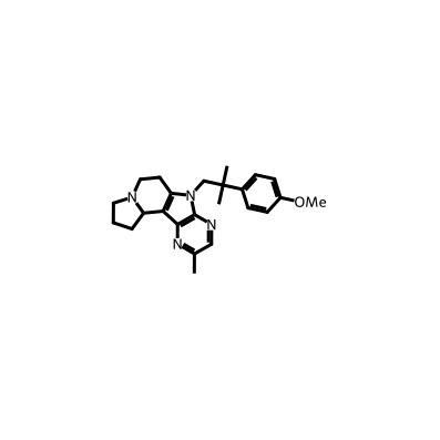 COc1ccc(C(C)(C)Cn2c3c(c4nc(C)cnc42)C2CCCN2CC3)cc1